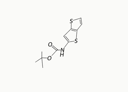 CC(C)(C)OC(=O)Nc1cc2sccc2s1